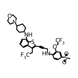 CS(=O)(=O)c1ccc(NCC#Cc2sc3c(NC4CCC(N5CCOCC5)CC4)cccc3c2CC(F)(F)F)c(OCC(F)(F)F)c1